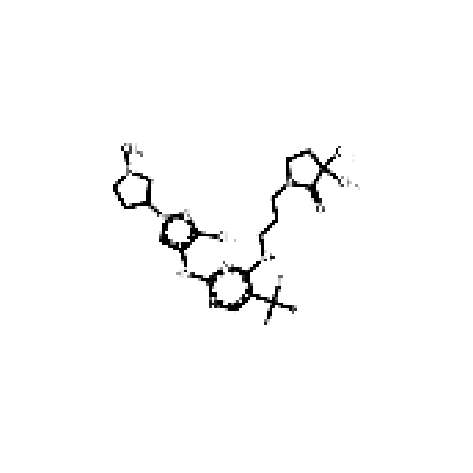 Cc1nn(C2CCN(C)C2)cc1Nc1ncc(C(F)(F)F)c(NCCCN2CCC(C)(C)C2=O)n1